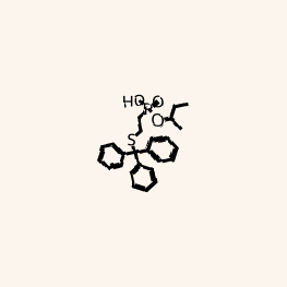 CCC(C)OP(=O)(O)CCSC(c1ccccc1)(c1ccccc1)c1ccccc1